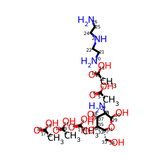 CC(=O)O.CC(=O)O.CC(=O)O.CC(=O)O.CC(=O)O.NCCNCCN.N[C@H]1C(O)O[C@H](CO)[C@@H](O)[C@@H]1O